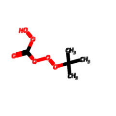 CC(C)(C)OOOC(=O)OO